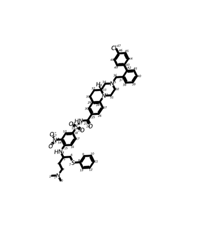 CN(C)CCC(CSc1ccccc1)Nc1ccc(S(=O)(=O)NC(=O)c2ccc3c(c2)CC[C@@H]2CN(Cc4ccccc4-c4ccc(Cl)cc4)CCN32)cc1[N+](=O)[O-]